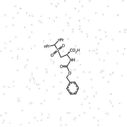 CCCC(CCC)S(=O)(=O)C[C@H](NC(=O)OCc1ccccc1)C(=O)O